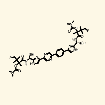 CN(C)C(=O)OC(C)(C(=O)N[C@H](c1nc(-c2ccc(-c3cnc(-c4c[nH]c([C@@H](NC(=O)C(C)(OC(=O)N(C)C)C(C)(C)CF)C(C)(C)C)n4)cn3)cc2)c[nH]1)C(C)(C)C)C(C)(C)CF